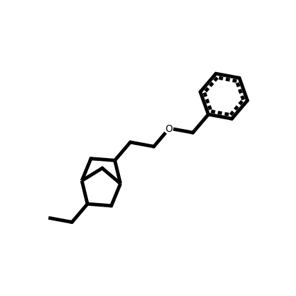 CCC1CC2CC1CC2CCOCc1ccccc1